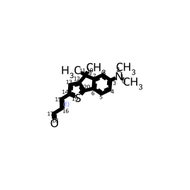 CN(C)c1ccc2c(c1)C(C)(C)c1cc(/C=C/C=O)sc1-2